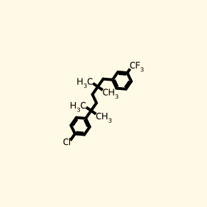 CC(C)(CCC(C)(C)c1ccc(Cl)cc1)Cc1cccc(C(F)(F)F)c1